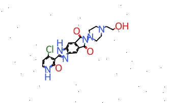 O=C1c2cc3nc(-c4c(Cl)cc[nH]c4=O)[nH]c3cc2C(=O)N1N1CCN(CCO)CC1